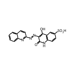 O=c1[nH]c2ccc(S(=O)(=O)O)cc2c(O)c1/N=N/c1ccc2ccccc2n1